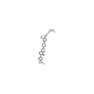 CCCCCOc1ccc(C2CCC(OCc3ccc(-c4ccc(C)cc4)c(F)c3F)CC2)cc1F